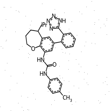 Cc1ccc(NC(=O)Nc2cc(-c3ccccc3-c3nnn[nH]3)cc3c2OCCCC3C(C)C)cc1